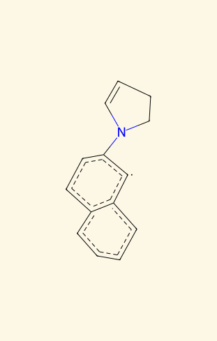 [c]1c(N2C=CCC2)ccc2ccccc12